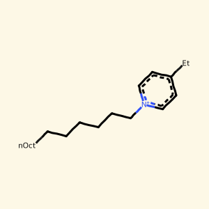 CCCCCCCCCCCCCC[n+]1ccc(CC)cc1